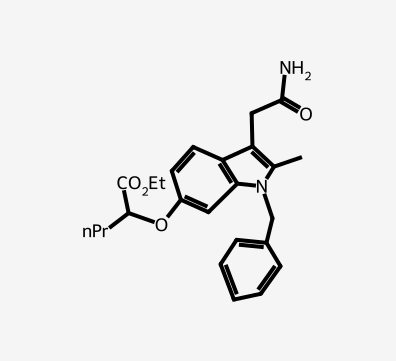 CCCC(Oc1ccc2c(CC(N)=O)c(C)n(Cc3ccccc3)c2c1)C(=O)OCC